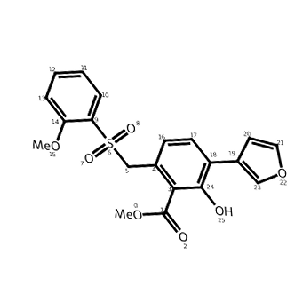 COC(=O)c1c(CS(=O)(=O)c2ccccc2OC)ccc(-c2ccoc2)c1O